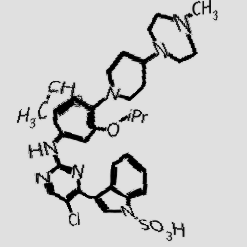 CC.CC(C)Oc1cc(Nc2ncc(Cl)c(-c3cn(S(=O)(=O)O)c4ccccc34)n2)ccc1N1CCC(N2CCN(C)CC2)CC1